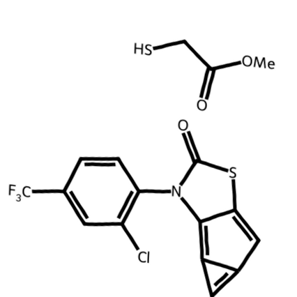 COC(=O)CS.O=c1sc2cc3cc-3c2n1-c1ccc(C(F)(F)F)cc1Cl